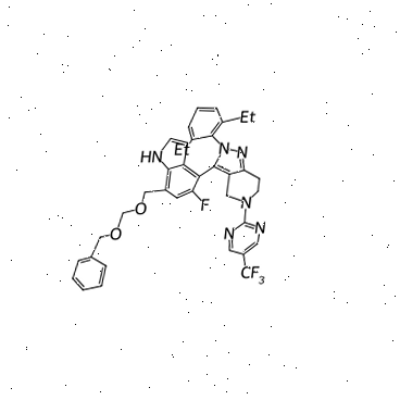 CCc1cccc(CC)c1-n1nc2c(c1-c1c(F)cc(COCOCc3ccccc3)c3[nH]ccc13)CN(c1ncc(C(F)(F)F)cn1)CC2